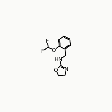 FC(F)Oc1ccccc1CNC1=NCCO1